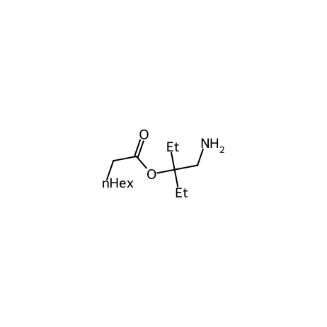 CCCCCCCC(=O)OC(CC)(CC)CN